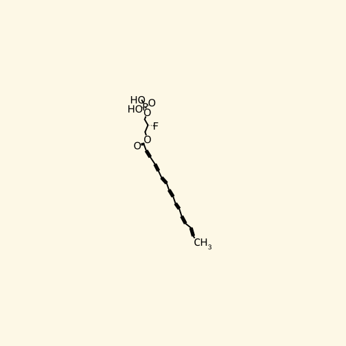 CC#CC#CC#CC#CC#CC#CC#CC(=O)OC[C@@H](F)COP(=O)(O)O